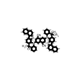 CC1(C)c2ccccc2N(c2cc(C#N)c3cc(N4c5ccccc5C(C)(C)c5ccc6c(oc7ccc8ccccc8c76)c54)cc(C#N)c3c2)c2c1ccc1c2oc2ccc3ccccc3c21